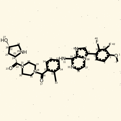 COc1ccc(-c2cnc3c(Nc4ccc(C(=O)N5CCN(C(=O)[C@@H]6C[C@H](O)CN6)CC5)c(C)c4)nccn23)c(F)c1F